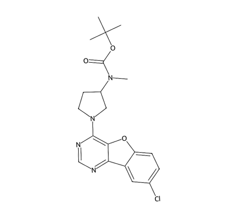 CN(C(=O)OC(C)(C)C)C1CCN(c2ncnc3c2oc2ccc(Cl)cc23)C1